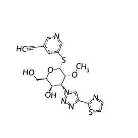 C#Cc1cncc(S[C@H]2O[C@H](CO)[C@H](O)[C@H](n3cc(-c4nccs4)nn3)[C@H]2OC)c1